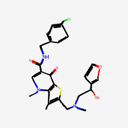 Cc1c(CN(C)CC(O)c2ccoc2)sc2c(=O)c(C(=O)NCc3ccc(Cl)cc3)cn(C)c12